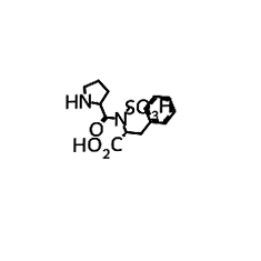 O=C(O)[C@H](Cc1ccccc1)N(C(=O)C1CCCN1)S(=O)(=O)O